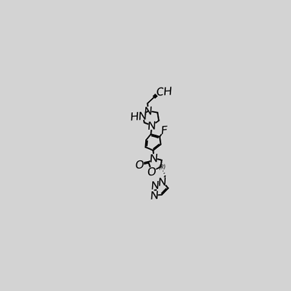 C#CCN1CCN(c2ccc(N3C[C@H](Cn4ccnn4)OC3=O)cc2F)CN1